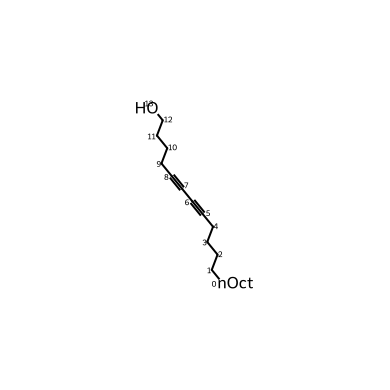 CCCCCCCCCCCCC#CC#CCCCCO